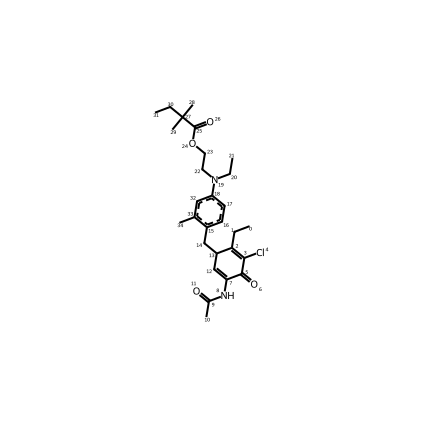 CCC1=C(Cl)C(=O)C(NC(C)=O)=CC1Cc1ccc(N(CC)CCOC(=O)C(C)(C)CC)cc1C